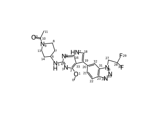 COc1nc(NC2CCN(C(C)=O)CC2)nc2[nH]cc(-c3ccc4nnn(CC(F)F)c4c3)c12